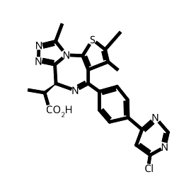 Cc1sc2c(c1C)C(c1ccc(-c3cc(Cl)ncn3)cc1)=N[C@@H](C(C)C(=O)O)c1nnc(C)n1-2